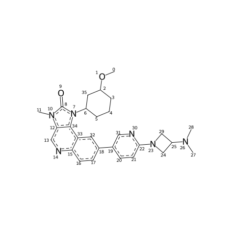 COC1CCCC(n2c(=O)n(C)c3cnc4ccc(-c5ccc(N6CC(N(C)C)C6)nc5)cc4c32)C1